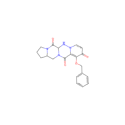 O=C1C2Nn3ccc(=O)c(OCc4ccccc4)c3C(=O)N2CC2CCCN12